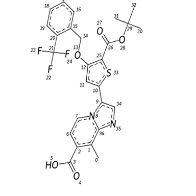 Cc1c(C(=O)O)ccn2c(-c3cc(OCc4ccccc4C(F)(F)F)c(C(=O)OC(C)(C)C)s3)cnc12